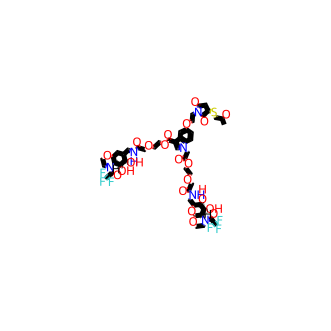 CC(=O)CSC1CC(=O)N(CCOc2ccc3c(c2)c(C(=O)OCCOCC(=O)NCC2CC4OCCN(C(=O)C(F)(F)F)[C@@H]4[C@@H](O)[C@H]2O)cn3CC(=O)OCCOCC(=O)NCC2OC3OCCN(C(=O)C(F)(F)F)[C@@H]3[C@@H](O)[C@H]2O)C1=O